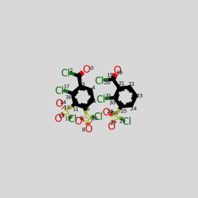 O=C(Cl)c1ccc(S(=O)(=O)Cl)c(S(=O)(=O)Cl)c1Cl.O=C(Cl)c1cccc(S(=O)(=O)Cl)c1Cl